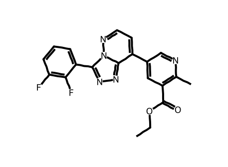 CCOC(=O)c1cc(-c2ccnn3c(-c4cccc(F)c4F)nnc23)cnc1C